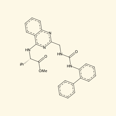 COC(=O)[C@@H](Nc1nc(CNC(=O)Nc2ccccc2-c2ccccc2)nc2ccccc12)C(C)C